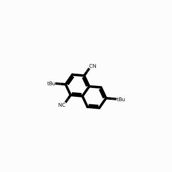 CC(C)(C)c1ccc2c(C#N)c(C(C)(C)C)cc(C#N)c2c1